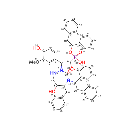 COc1cc(CN2NCC(O)C(Cc3ccccc3)N(C(Cc3ccccc3)c3ccccc3OCP(=O)(O)OC(Cc3ccccc3)c3ccccc3)C2=O)ccc1O